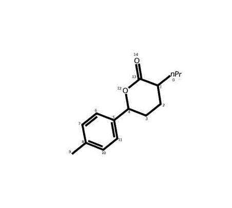 CCCC1CCC(c2ccc(C)cc2)OC1=O